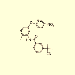 Cc1ccc(Oc2ccc([N+](=O)[O-])cn2)cc1NC(=O)c1cccc(C(C)(C)C#N)c1